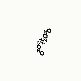 CN(c1ccccc1)c1ccc(N=C2C(C)(C)C(=Nc3ccc(N(C)c4ccccc4)cc3)C2(C)C)cc1